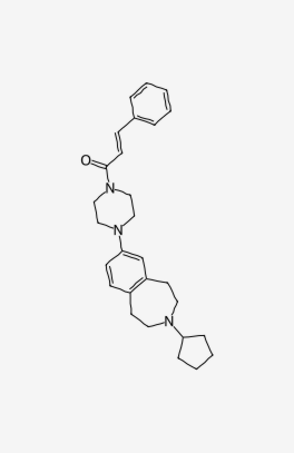 O=C(C=Cc1ccccc1)N1CCN(c2ccc3c(c2)CCN(C2CCCC2)CC3)CC1